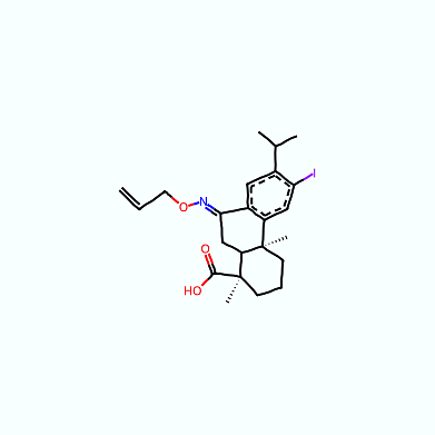 C=CCON=C1CC2[C@](C)(C(=O)O)CCC[C@]2(C)c2cc(I)c(C(C)C)cc21